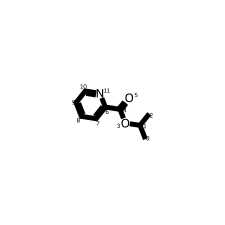 CC(C)OC(=O)c1ccccn1